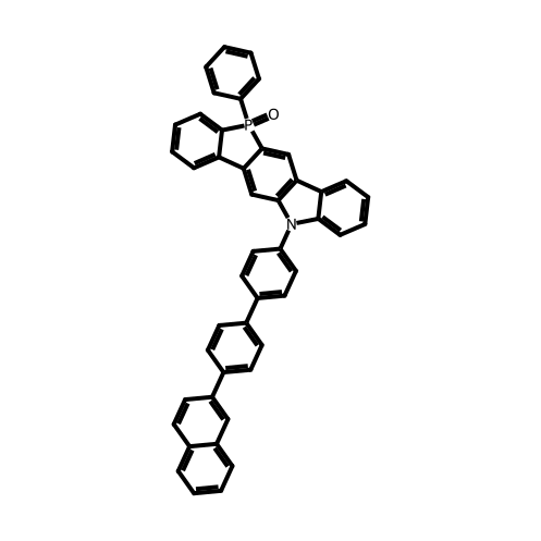 O=P1(c2ccccc2)c2ccccc2-c2cc3c(cc21)c1ccccc1n3-c1ccc(-c2ccc(-c3ccc4ccccc4c3)cc2)cc1